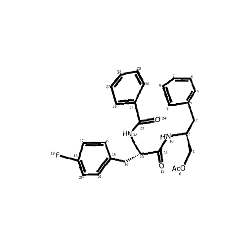 CC(=O)OC[C@H](Cc1ccccc1)NC(=O)[C@H](Cc1ccc(F)cc1)NC(=O)c1ccccc1